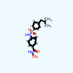 CC(C)Cc1ccc(S(=O)(=O)Nc2ccc(C(=O)NO)cc2)cc1